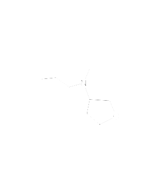 CCCN(C)C1CCOC1